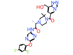 C[C@@H](C(=O)Nc1cnc(Oc2ccc(F)cc2F)cn1)N1CCN(C(=O)c2cc(CO)c3nncn3c2)C(C)(C)C1